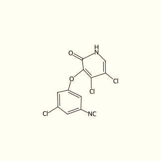 [C-]#[N+]c1cc(Cl)cc(Oc2c(Cl)c(Cl)c[nH]c2=O)c1